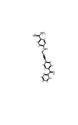 N=C(N)c1ccc(NCC#Cc2ccc(C(=O)c3ccccn3)cc2)cc1